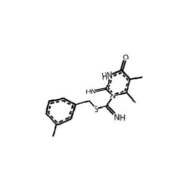 Cc1cccc(CSC(=N)n2c(C)c(C)c(=O)[nH]c2=N)c1